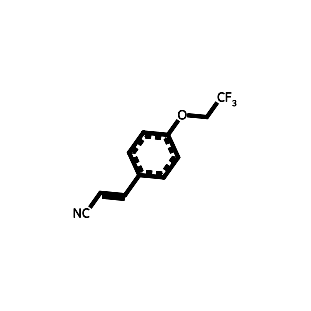 N#C/C=C/c1ccc(OCC(F)(F)F)cc1